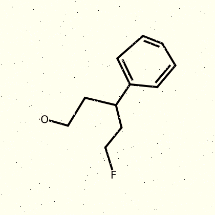 [O]CCC(CCF)c1ccccc1